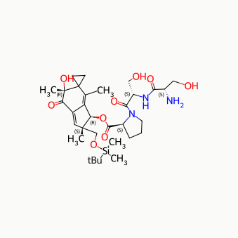 CC1=C2C(=C[C@@](C)(CO[Si](C)(C)C(C)(C)C)[C@@H]2OC(=O)[C@@H]2CCCN2C(=O)[C@H](CO)NC(=O)[C@@H](N)CO)C(=O)[C@](C)(O)C12CC2